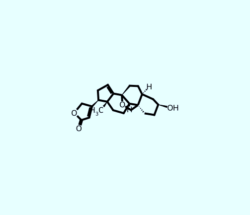 C[C@]12CC[C@@H]3[C@@]45CC[C@H](O)C[C@@H]4CC[C@@]3(OC5)C1=CC[C@@H]2C1=CC(=O)OC1